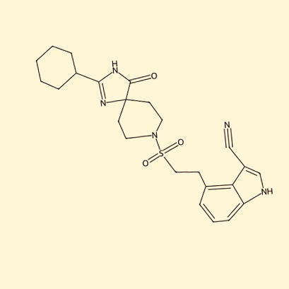 N#Cc1c[nH]c2cccc(CCS(=O)(=O)N3CCC4(CC3)N=C(C3CCCCC3)NC4=O)c12